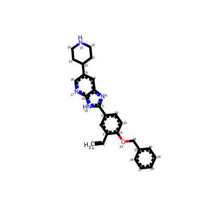 C=Cc1cc(-c2nc3cc(C4CCNCC4)cnc3[nH]2)ccc1OCc1ccccc1